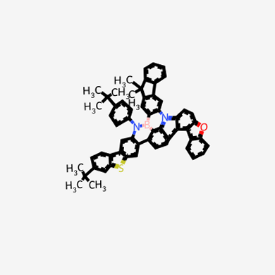 CC(C)(C)c1ccc(N2B3c4cc5c(cc4-n4c6ccc7oc8ccccc8c7c6c6ccc(c3c64)-c3cc4sc6cc(C(C)(C)C)ccc6c4cc32)-c2ccccc2C5(C)C)cc1